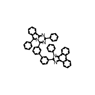 c1ccc(-c2nc(-c3cccc(-c4cccc(-c5nc6c7ccccc7c7ccccc7c6n5-c5ccccc5)c4)c3)n3c(-c4ccccc4)c4ccccc4c3n2)cc1